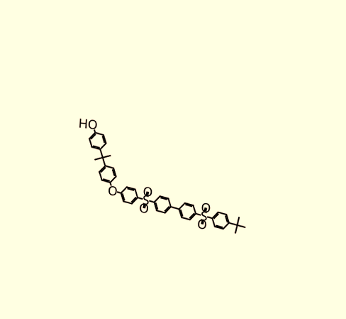 CC(C)(C)c1ccc(S(=O)(=O)c2ccc(-c3ccc(S(=O)(=O)c4ccc(Oc5ccc(C(C)(C)c6ccc(O)cc6)cc5)cc4)cc3)cc2)cc1